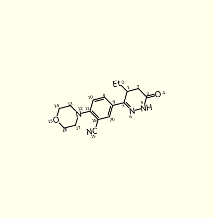 CCC1CC(=O)NN=C1c1ccc(N2CCOCC2)c(C#N)c1